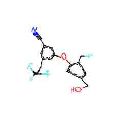 N#Cc1cc(Oc2ccc(CO)cc2CF)cc(C(F)(F)F)c1